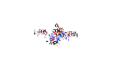 CC(c1cnn(C[C@@H]2NC(=O)[C@H]2NC(=O)C(=NOC2(C(=O)OC(c3ccccc3)c3ccccc3)CC2)c2csc(NC(=O)OC(C)(C)C)n2)n1)N(C(=O)OC(C)(C)C)/C(=N\C(=O)OC(C)(C)C)NCCCNC(=O)OC(C)(C)C